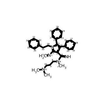 C=Nc1c(C(=N)N(C)CCCN(C)C)c(-c2ccccc2)c(-c2ccccc2)n1CCc1ccccc1